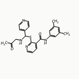 CC(=O)CNC(Sc1ncccc1C(=O)Nc1cc(C)cc(C)c1)c1ccncc1